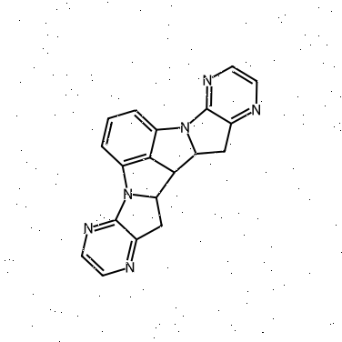 c1cc2c3c(c1)N1c4nccnc4CC1C3C1Cc3nccnc3N21